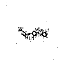 Nc1cc2c(Nc3cccc(Cl)c3F)ncnc2cc1C#CC12CC1CN(C1COC1)C2